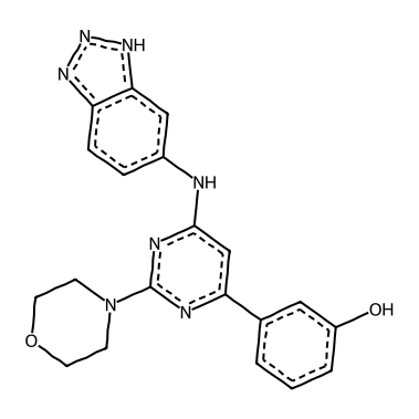 Oc1cccc(-c2cc(Nc3ccc4nn[nH]c4c3)nc(N3CCOCC3)n2)c1